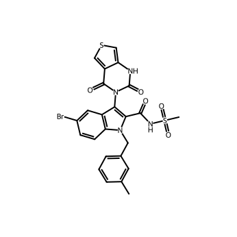 Cc1cccc(Cn2c(C(=O)NS(C)(=O)=O)c(-n3c(=O)[nH]c4cscc4c3=O)c3cc(Br)ccc32)c1